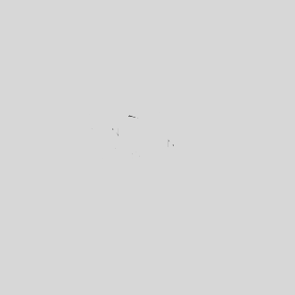 O=C1c2ccccc2C(=O)N1C[C@@H]1CN(Cc2ccccc2)CCO1